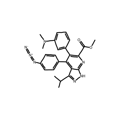 COC(=O)c1nc2[nH]nc(C(C)C)c2c(-c2ccc(N=[N+]=[N-])cc2)c1-c1cccc(N(C)C)c1